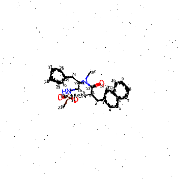 CN[C@H](Cc1ccc2ccccc2c1)C(=O)N(C)[C@@H](CNS(C)(=O)=O)Cc1ccccc1